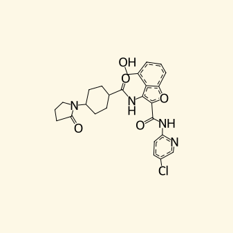 O=C(Nc1ccc(Cl)cn1)c1oc2cccc(CO)c2c1NC(=O)C1CCC(N2CCCC2=O)CC1